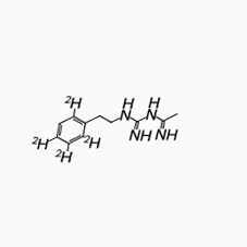 [2H]c1cc([2H])c(CCNC(=N)NC(C)=N)c([2H])c1[2H]